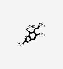 C=CCc1c(C)cc2sc(N)nc2c1OC=O